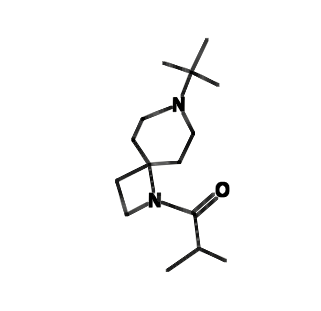 CC(C)C(=O)N1CCC12CCN(C(C)(C)C)CC2